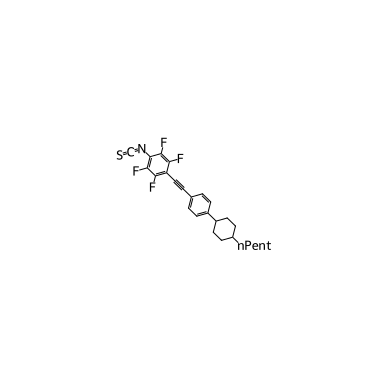 CCCCCC1CCC(c2ccc(C#Cc3c(F)c(F)c(N=C=S)c(F)c3F)cc2)CC1